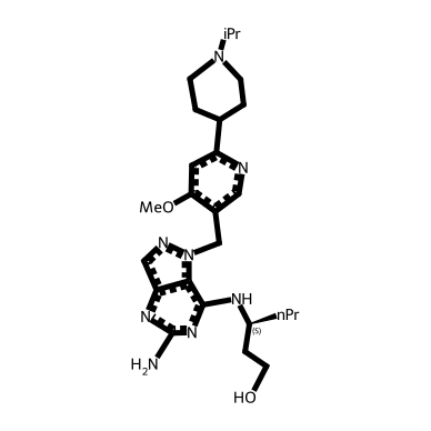 CCC[C@@H](CCO)Nc1nc(N)nc2cnn(Cc3cnc(C4CCN(C(C)C)CC4)cc3OC)c12